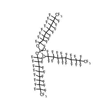 O=P(OC(F)(F)C(F)(F)C(F)(F)C(F)(F)C(F)(F)C(F)(F)C(F)(F)C(F)(F)C(F)(F)F)(OC(F)(F)C(F)(F)C(F)(F)C(F)(F)C(F)(F)C(F)(F)C(F)(F)C(F)(F)C(F)(F)F)OC(F)(F)C(F)(F)C(F)(F)C(F)(F)C(F)(F)C(F)(F)C(F)(F)C(F)(F)C(F)(F)F